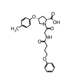 Cc1ccc(O[C@@H]2C[C@@H](C(=O)O)N(C(=O)CNC(=O)CCCOc3ccccc3)C2)cc1